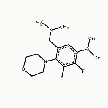 CN(C)Cc1cc(B(O)O)c(F)c(F)c1N1CCOCC1